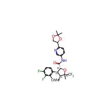 COc1c([C@H]2[C@H](C(=O)Nc3ccc(C4COC(C)(C)O4)nc3)O[C@@](C)(C(F)(F)F)[C@H]2C)ccc(F)c1F